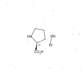 CCO.O=C(O)[C@@H]1CCCN1